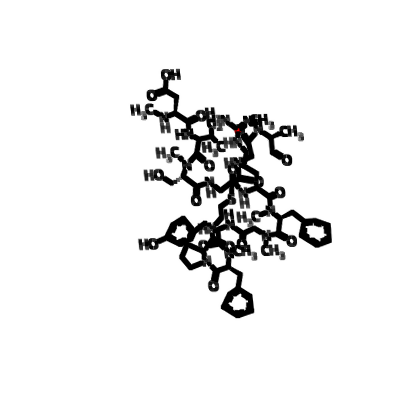 CN[C@@H](CC(=O)O)C(=O)NC(C(=O)N(C)[C@@H](CO)C(=O)NCC(=O)N[C@@H](CCCNC(=N)N)C(=O)N(C)[C@@H](Cc1ccccc1)C(=O)N(C)CC(=O)N[C@@H](Cc1ccc(O)cc1)C(=O)N(C)[C@@H](Cc1ccccc1)C(=O)N1CCC[C@H]1C(=O)NCCSCC(=O)NCC(=O)N(C)[C@@H](C)C=O)C(C)C